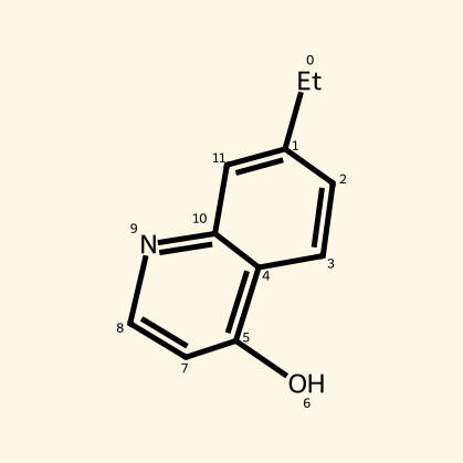 CCc1ccc2c(O)ccnc2c1